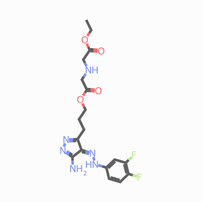 CCOC(=O)CNCC(=O)OCCCC1=NN=C(N)C1=NNc1ccc(F)c(F)c1